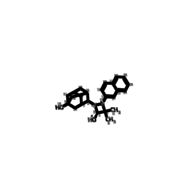 CC1(C)[C@@H](O)N(C2C3CC4CC2CC(O)(C4)C3)N1c1ccc2ccccc2c1